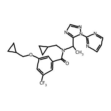 CC(c1ncnn1-c1ncccn1)N(CC1CC1)C(=O)c1cc(OCC2CC2)cc(C(F)(F)F)c1